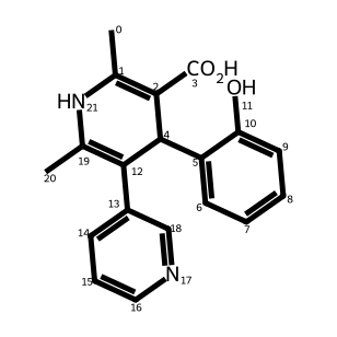 CC1=C(C(=O)O)C(c2ccccc2O)C(c2cccnc2)=C(C)N1